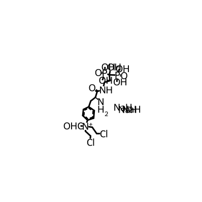 N[C@@H](Cc1ccc([N+](C=O)(CCCl)CCCl)cc1)C(=O)NCCC(O)(P(=O)(O)O)P(=O)(O)O.[NaH].[NaH].[NaH]